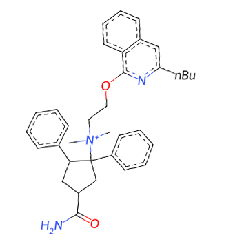 CCCCc1cc2ccccc2c(OCC[N+](C)(C)C2(c3ccccc3)CC(C(N)=O)CC2c2ccccc2)n1